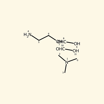 CN(C)C.NCCO.O=CO.O=CO